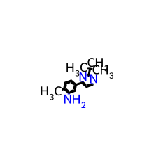 Cc1ccc(-c2ccnc(C(C)(C)C)n2)cc1N